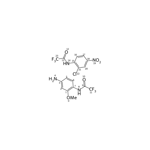 COc1cc(N)ccc1NC(=O)C(F)(F)F.O=C(Nc1ccc([N+](=O)[O-])cc1Cl)C(F)(F)F